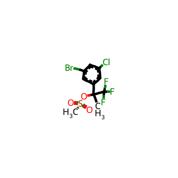 CC(OS(C)(=O)=O)(c1cc(Cl)cc(Br)c1)C(F)(F)F